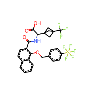 O=C(N[C@H](C(=O)O)C12CC(C(F)(F)F)(C1)C2)c1ccc2ccccc2c1OCc1ccc(S(F)(F)(F)(F)F)cc1